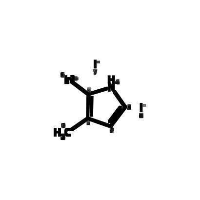 Cc1cc[nH][c]1[Ir+2].[I-].[I-]